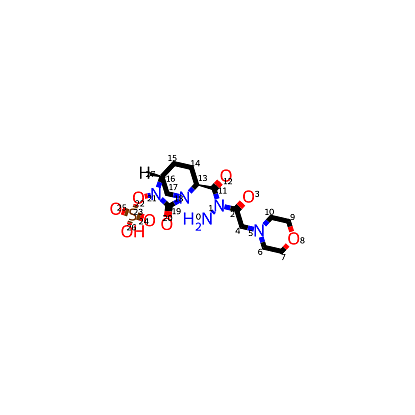 NN(C(=O)CN1CCOCC1)C(=O)[C@@H]1CC[C@@H]2CN1C(=O)N2OS(=O)(=O)O